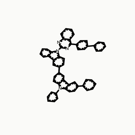 c1ccc(-c2ccc(-c3nc(-n4c5ccccc5c5cc(-c6ccc7c(c6)c6cc(-c8ccccc8)ccc6n7-c6ccccc6)ccc54)nc4ccccc34)cc2)cc1